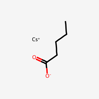 CCCCC(=O)[O-].[Cs+]